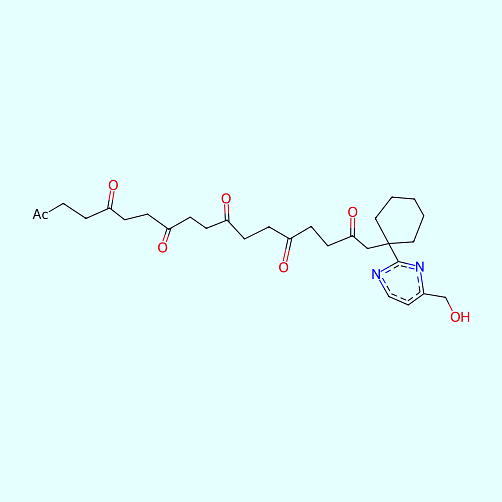 CC(=O)CCC(=O)CCC(=O)CCC(=O)CCC(=O)CCC(=O)CC1(c2nccc(CO)n2)CCCCC1